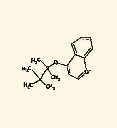 CC(C)(C)[Si](C)(C)Oc1cc[o+]c2ccccc12